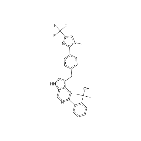 Cn1cc(C(F)(F)F)nc1-c1ccc(Cc2c[nH]c3cnc(-c4ccccc4C(C)(C)O)nc23)cc1